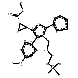 COC(=O)[C@H]1C[C@@H]1c1nc(-c2ccccc2)n(COCC[Si](C)(C)C)c1-c1ccc(OC)cc1